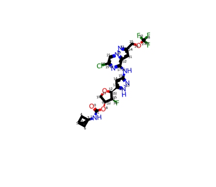 O=C(NC12CC(C1)C2)O[C@H]1CO[C@@H](c2cc(Nc3nc(Cl)cn4nc(COC(F)(F)F)cc34)n[nH]2)[C@H]1F